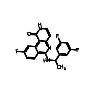 CC(Nc1nc2cc[nH]c(=O)c2c2cc(F)ccc12)c1cc(F)cc(F)c1